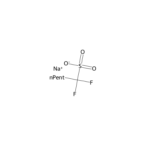 CCCCCC(F)(F)S(=O)(=O)[O-].[Na+]